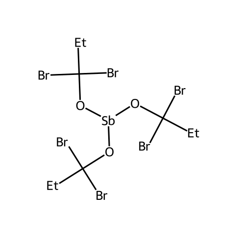 CCC(Br)(Br)[O][Sb]([O]C(Br)(Br)CC)[O]C(Br)(Br)CC